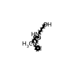 CC1CC(OC(=O)NCCCCCCO)CCN1Cc1ccccc1